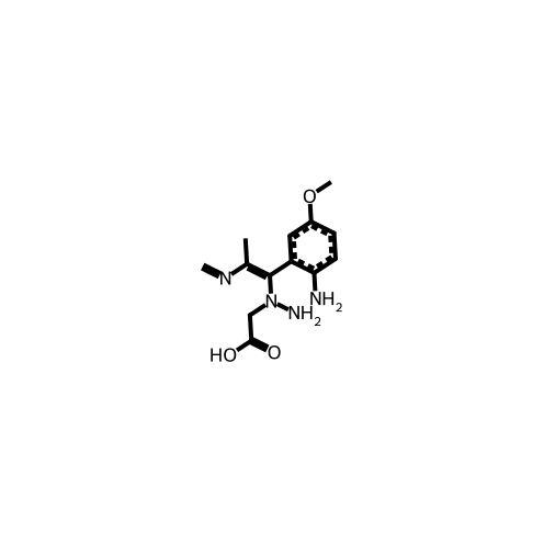 C=N/C(C)=C(/c1cc(OC)ccc1N)N(N)CC(=O)O